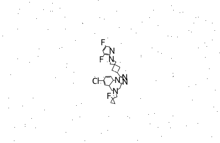 Fc1cnc(N2CC3(CC(c4nnc5n4C4C=CC(Cl)=CC4CN(CC4(F)CC4)C5)C3)C2)c(F)c1